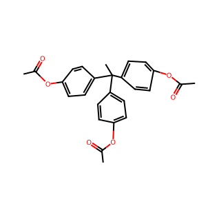 CC(=O)Oc1ccc(C(C)(c2ccc(OC(C)=O)cc2)c2ccc(OC(C)=O)cc2)cc1